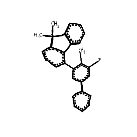 Cc1c(F)cc(-c2ccccc2)cc1-c1cccc2c1-c1ccccc1C2(C)C